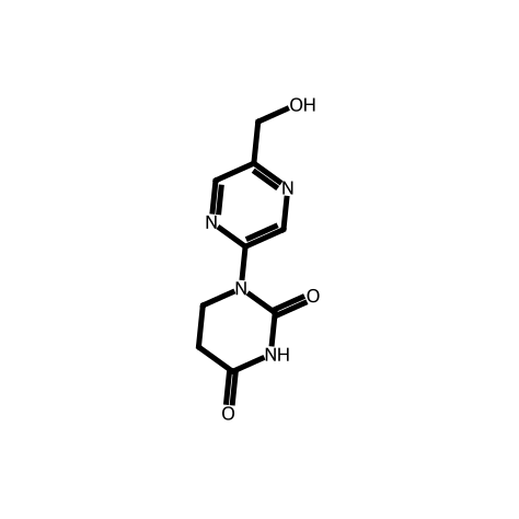 O=C1CCN(c2cnc(CO)cn2)C(=O)N1